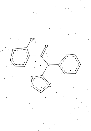 O=C(c1ccccc1C(F)(F)F)N(c1ccccc1)c1nccs1